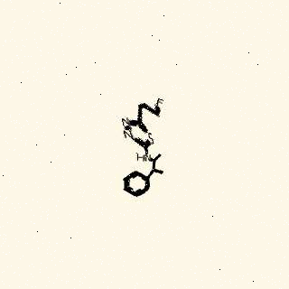 CC(Nc1nnc(CCF)s1)C(C)c1ccccc1